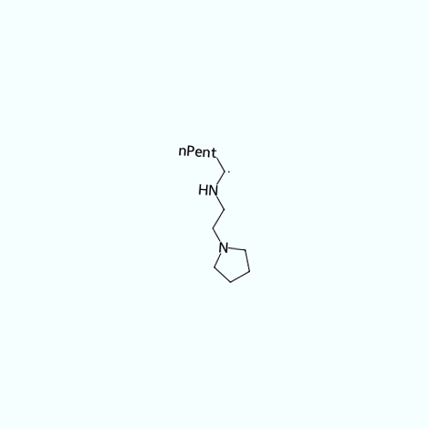 CCCCC[CH]NCCN1CCCC1